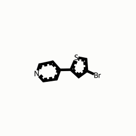 Brc1csc(-c2ccncc2)c1